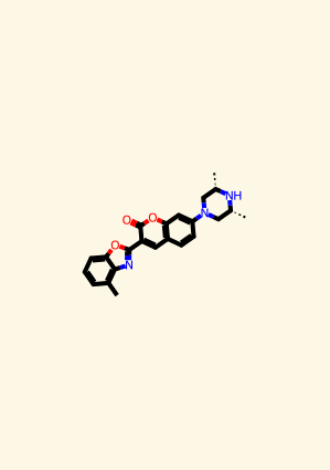 Cc1cccc2oc(-c3cc4ccc(N5C[C@@H](C)N[C@@H](C)C5)cc4oc3=O)nc12